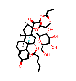 CCCCC(=O)O[C@H]1C[C@@]2(CC3O[C@H](CO)[C@@H](O)[C@H](O)[C@H]3O)[C@@H](C[C@H](C)[C@]2(OC(=O)CC)C(=O)COC(=O)CC)[C@@H]2CCC3=CC(=O)C=C[C@]3(C)C12F